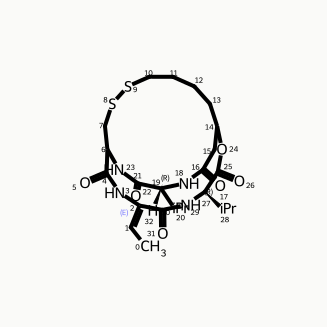 C/C=C1/NC(=O)C2CSSCCCCC(CC(=O)N[C@H](C(C)C)C(=O)N2)OC(=O)[C@@H](C(C)C)NC1=O